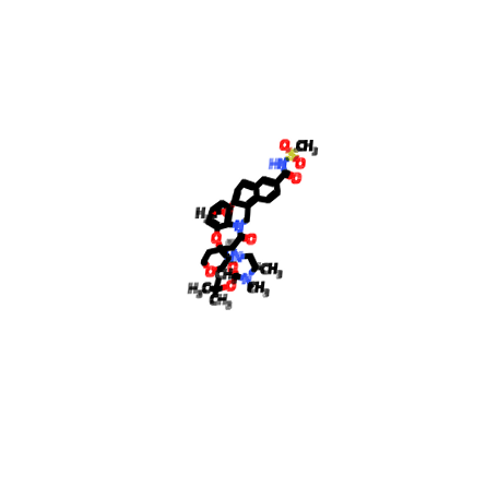 COc1ccc2cc(C(=O)NS(C)(=O)=O)ccc2c1CN1C(=O)[C@@H](NC[C@H](C)N(C)C(=O)OC(C)(C)C)C2(CCOCC2)Oc2ccccc21